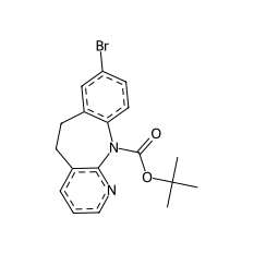 CC(C)(C)OC(=O)N1c2ccc(Br)cc2CCc2cccnc21